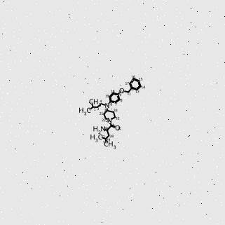 CC(C)CCN(c1ccc(OCc2ccccc2)cc1)C1CCN(C(=O)[C@H](N)CC(C)C)CC1